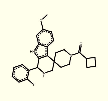 COc1ccc2c3c([nH]c2c1)C(c1ccccc1F)NCC31CCN(C(=O)C2CCC2)CC1